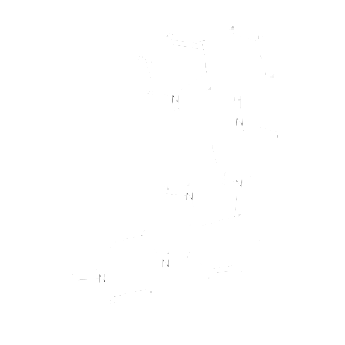 CN1CCN(c2cccc3nc(CN(C)C4CCCc5cccnc54)n(C)c23)CC1